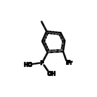 Cc1ccc(C(C)C)c(P(O)O)c1